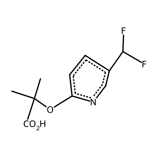 CC(C)(Oc1ccc(C(F)F)cn1)C(=O)O